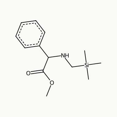 COC(=O)C(NC[Si](C)(C)C)c1ccccc1